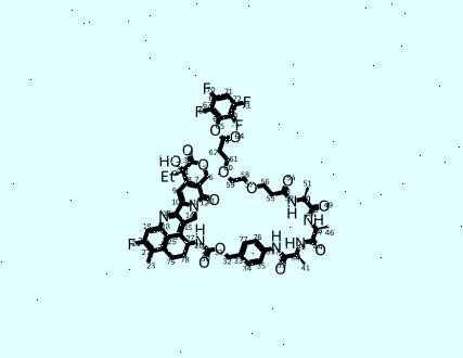 CC[C@@]1(O)C(=O)OCc2c1cc1n(c2=O)Cc2c-1nc1cc(F)c(C)c3c1c2C(NC(=O)OCc1ccc(NC(=O)[C@H](C)NC(=O)[C@H](C)NC(=O)[C@H](C)NC(=O)CCOCCOCCC(=O)Oc2c(F)c(F)cc(F)c2F)cc1)CC3